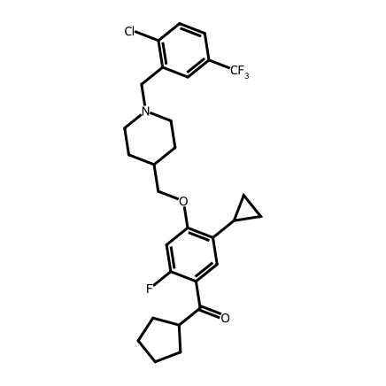 O=C(c1cc(C2CC2)c(OCC2CCN(Cc3cc(C(F)(F)F)ccc3Cl)CC2)cc1F)C1CCCC1